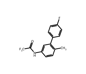 Cc1ccc(NC(=O)C(F)(F)F)cc1-c1ccc(F)cc1